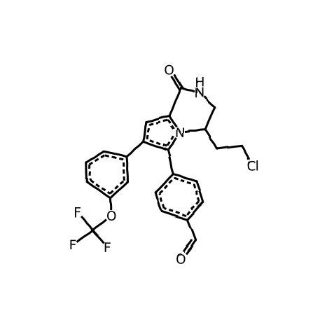 O=Cc1ccc(-c2c(-c3cccc(OC(F)(F)F)c3)cc3n2C(CCCl)CNC3=O)cc1